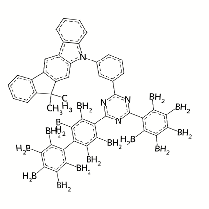 Bc1c(B)c(B)c(-c2nc(-c3cccc(-n4c5ccccc5c5cc6c(cc54)C(C)(C)c4ccccc4-6)c3)nc(-c3c(B)c(B)c(-c4c(B)c(B)c(B)c(B)c4B)c(B)c3B)n2)c(B)c1B